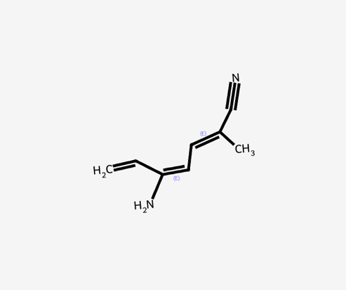 C=C/C(N)=C\C=C(/C)C#N